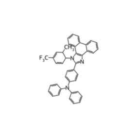 CC1C=C(C(F)(F)F)C=CC1n1c(-c2ccc(N(c3ccccc3)c3ccccc3)cc2)nc2c3ccccc3c3ccccc3c21